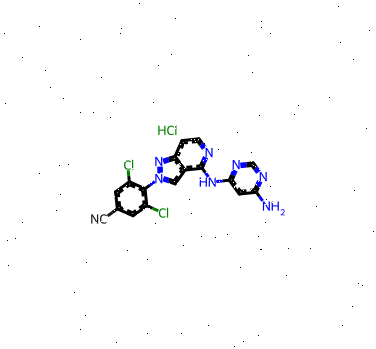 Cl.N#Cc1cc(Cl)c(-n2cc3c(Nc4cc(N)ncn4)nccc3n2)c(Cl)c1